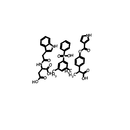 CC(C(=O)O)c1ccc(OC(=O)c2cc[nH]c2)cc1.Cc1cc(C)cc(P(=O)(O)c2ccccc2)c1.O=C(O)CC(NC(=O)Cc1c[nH]c2ccccc12)C(=O)O